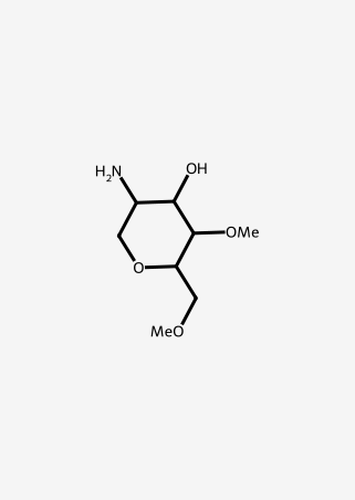 COCC1OCC(N)C(O)C1OC